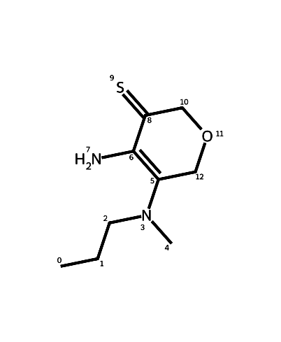 CCCN(C)C1=C(N)C(=S)COC1